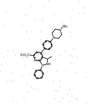 CCOC(=O)c1cc(-c2ccc(N3CCN(C(C)(C)C)CC3)cc2)c2c(n1)N(c1ccccc1)NC2C